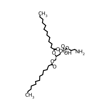 CCCCCCCCCCCCC(=O)OC[C@H](COP(=O)(O)OCCN)OC(=O)CCCCCCCCCCCC